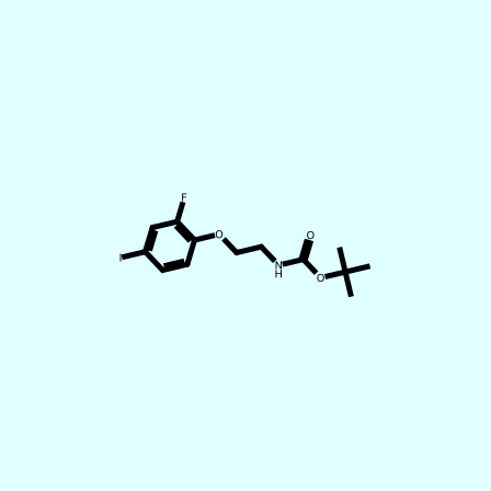 CC(C)(C)OC(=O)NCCOc1ccc(I)cc1F